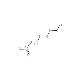 CCCCCSSC(C)=O